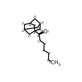 CCCCC[CH]C(=O)C12CC3CC(CC(C3)C1)C2